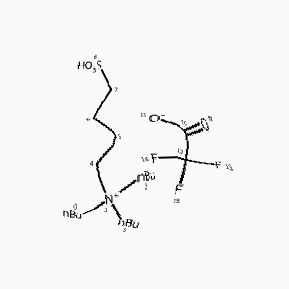 CCCC[N+](CCCC)(CCCC)CCCCS(=O)(=O)O.O=C([O-])C(F)(F)F